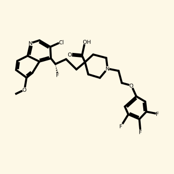 COc1ccc2ncc(Cl)c([C@@H](F)CCC3(C(=O)O)CCN(CCOc4cc(F)c(F)c(F)c4)CC3)c2c1